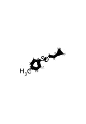 Cc1ccc(SOCCC2CC2)cc1